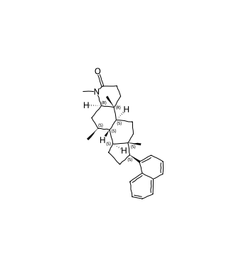 C[C@H]1C[C@H]2N(C)C(=O)CC[C@]2(C)[C@H]2CC[C@]3(C)[C@@H](c4cccc5ccccc45)CC[C@H]3[C@H]12